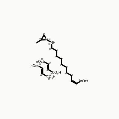 CCCCCCCC/C=C\CCCCCCCCNN1CC1C.CCCCCCCCC=CC(=O)O.CCCCCCCCC=CC(=O)O